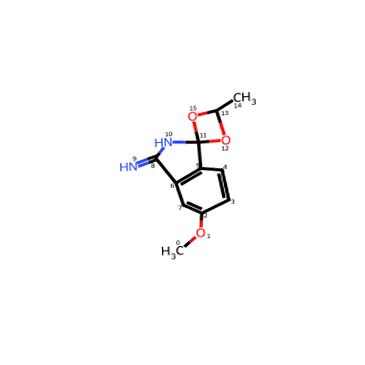 COc1ccc2c(c1)C(=N)NC21OC(C)O1